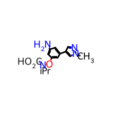 CC(C)N(Oc1cc(N)cc(-c2cnn(C)c2)c1)C(=O)O